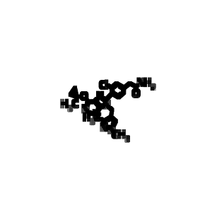 Cc1nn(C)cc1Cn1c(-c2ccc(CC(N)=O)cc2Cl)nc2c(OC3(C)CC3)ncnc21